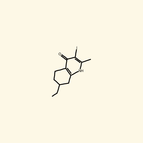 CCC1CCc2c([nH]c(C)c(I)c2=O)C1